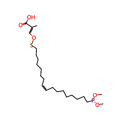 COP(CCCCCCCC/C=C\CCCCCCCSO/C=C(\C)C(=O)O)OC